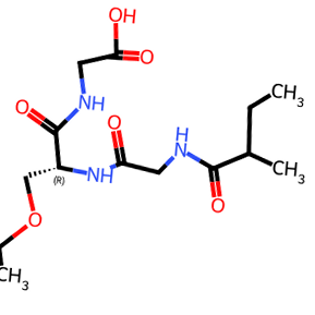 CCOC[C@@H](NC(=O)CNC(=O)C(C)CC)C(=O)NCC(=O)O